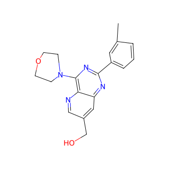 Cc1cccc(-c2nc(N3CCOCC3)c3ncc(CO)cc3n2)c1